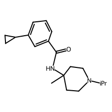 CC(C)N1CCC(C)(NC(=O)c2cccc(C3CC3)c2)CC1